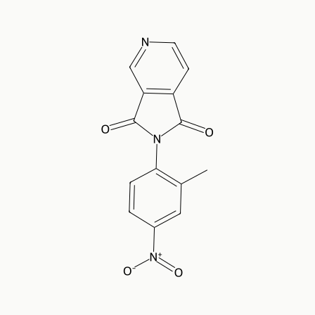 Cc1cc([N+](=O)[O-])ccc1N1C(=O)c2ccncc2C1=O